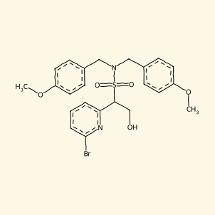 COc1ccc(CN(Cc2ccc(OC)cc2)S(=O)(=O)C(CO)c2cccc(Br)n2)cc1